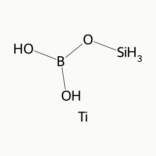 OB(O)O[SiH3].[Ti]